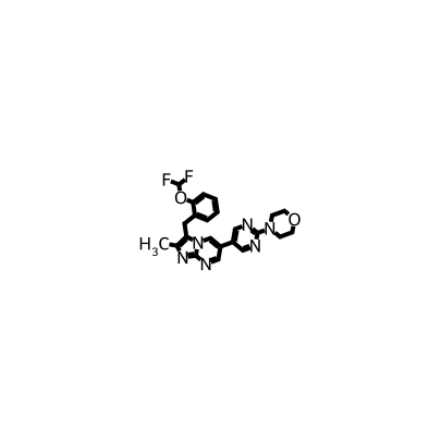 Cc1nc2ncc(-c3cnc(N4CCOCC4)nc3)cn2c1Cc1ccccc1OC(F)F